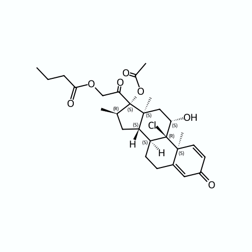 CCCC(=O)OCC(=O)[C@]1(OC(C)=O)[C@H](C)C[C@H]2[C@@H]3CCC4=CC(=O)C=C[C@]4(C)[C@@]3(Cl)[C@@H](O)C[C@@]21C